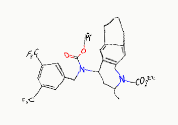 CCOC(=O)N1c2cc3c(cc2C(N(Cc2cc(C(F)(F)F)cc(C(F)(F)F)c2)C(=O)OC(C)C)CC1C)CCC3